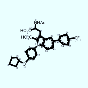 CC(=O)NC(Cc1c(C(=O)O)n(-c2ccc(OC3CCCC3)cc2)c2ccc(-c3ccc(C(F)(F)F)cc3)cc12)C(=O)O